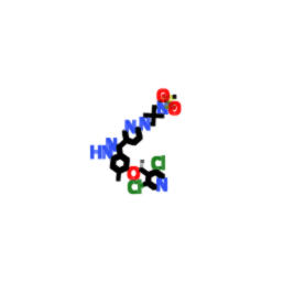 Cc1cc2[nH]nc(-c3ccc(N4CC5(C4)CN(S(C)(=O)=O)C5)nc3)c2cc1O[C@H](C)c1c(Cl)cncc1Cl